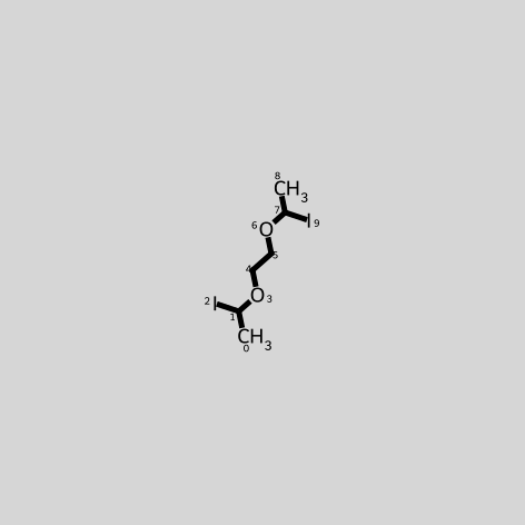 CC(I)OCCOC(C)I